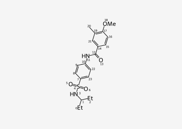 CCC(CC)NS(=O)(=O)c1ccc(NC(=O)c2ccc(OC)c(C)c2)cc1